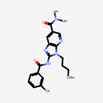 CCCN(CCC)C(=O)c1cnc2c(c1)nc(NC(=O)c1cccc(C#N)c1)n2CCCOC